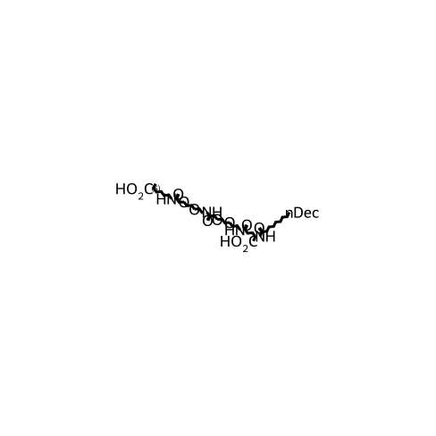 CCCCCCCCCCCCCCCCCC(=O)NC(CCC(=O)NCCOCCOCC(=O)NCCOCCOCC(=O)NCCCC[C@H](C)C(=O)O)C(=O)O